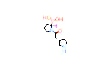 O=C(C[C@H]1CCNC1)N1CCC[C@]1(I)B(O)O